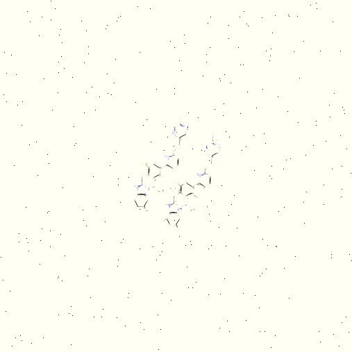 COCCn1c(Cc2cc(F)c(-c3cccc(OCc4cnc(C)cn4)n3)cc2F)nc2ccc(C(=O)O)cc21.COCCn1c(Cc2cc(F)c(-c3cccc(OCc4cnc(C)cn4)n3)cc2F)nc2ccc(C(=O)O)cc21